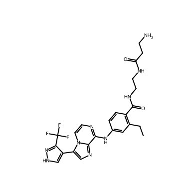 CCc1cc(Nc2nccn3c(-c4c[nH]nc4C(F)(F)F)cnc23)ccc1C(=O)NCCNC(=O)CCN